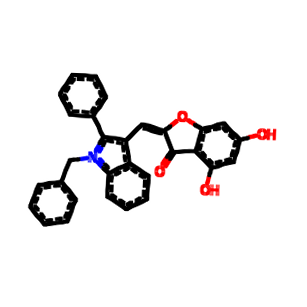 O=C1C(=Cc2c(-c3ccccc3)n(Cc3ccccc3)c3ccccc23)Oc2cc(O)cc(O)c21